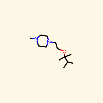 CC(C)C(C)(C)OCCN1CCN(C)CC1